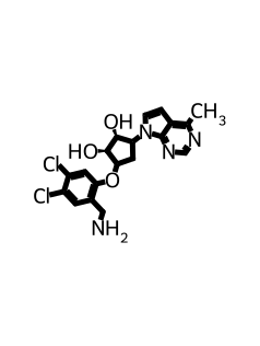 Cc1ncnc2c1ccn2C1CC(Oc2cc(Cl)c(Cl)cc2CN)[C@@H](O)[C@H]1O